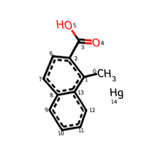 Cc1c(C(=O)O)ccc2ccccc12.[Hg]